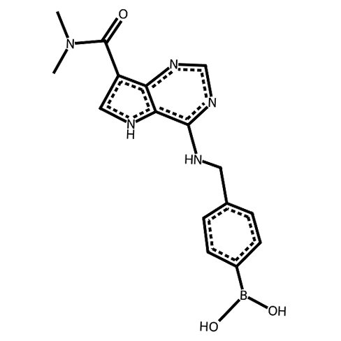 CN(C)C(=O)c1c[nH]c2c(NCc3ccc(B(O)O)cc3)ncnc12